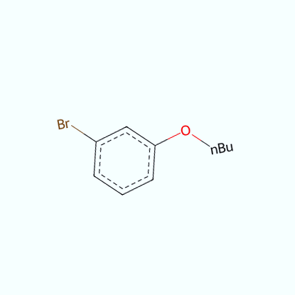 CCCCOc1cccc(Br)c1